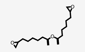 C=C(CCCCCC1CO1)OC(=C)CCCCCC1CO1